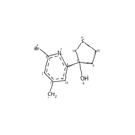 Cc1cc(Br)nc(C2(O)CCSC2)c1